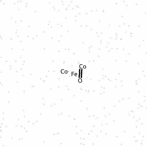 [Co].[Fe].[O]=[Co]